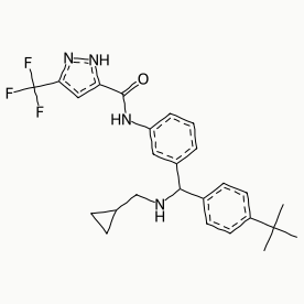 CC(C)(C)c1ccc(C(NCC2CC2)c2cccc(NC(=O)c3cc(C(F)(F)F)n[nH]3)c2)cc1